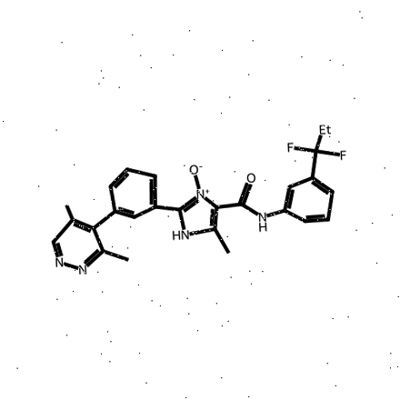 CCC(F)(F)c1cccc(NC(=O)c2c(C)[nH]c(-c3cccc(-c4c(C)cnnc4C)c3)[n+]2[O-])c1